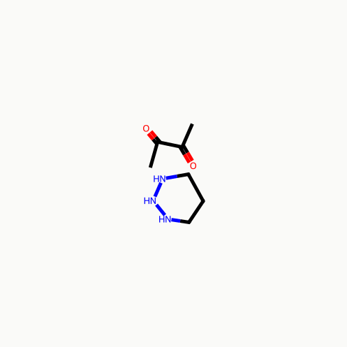 C1CNNNC1.CC(=O)C(C)=O